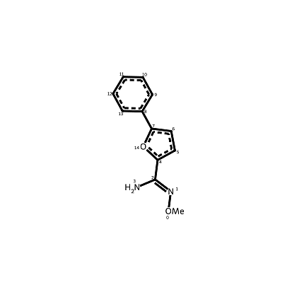 CON=C(N)c1ccc(-c2ccccc2)o1